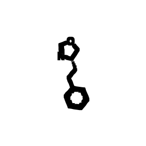 C1=N[C@@H](CCc2ccccc2)CO1